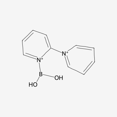 OB(O)[n+]1ccccc1-[n+]1ccccc1